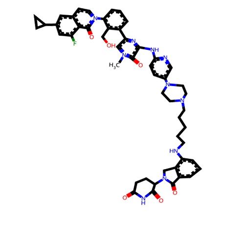 Cn1cc(-c2cccc(-n3ccc4cc(C5CC5)cc(F)c4c3=O)c2CO)nc(Nc2ccc(N3CCN(CCCCCNc4cccc5c4CN(C4CCC(=O)NC4=O)C5=O)CC3)cn2)c1=O